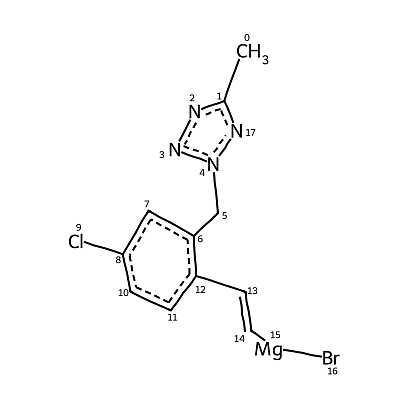 Cc1nnn(Cc2cc(Cl)ccc2/C=[CH]/[Mg][Br])n1